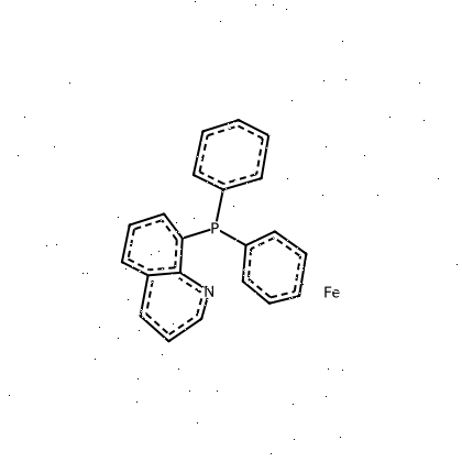 [Fe].c1ccc(P(c2ccccc2)c2cccc3cccnc23)cc1